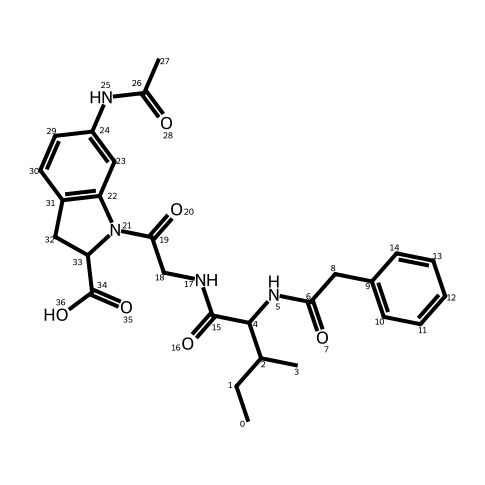 CCC(C)C(NC(=O)Cc1ccccc1)C(=O)NCC(=O)N1c2cc(NC(C)=O)ccc2CC1C(=O)O